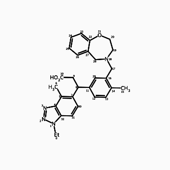 CCn1nnc2c(C)c(C(CC(=O)O)c3ccc(C)c(CN4CCOc5ccccc5C4)c3)ccc21